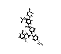 COc1ccc(N(C(=O)Oc2c(C)cccc2C)c2ccnc(Nc3ccc(N4CCNCC4)c(OC(F)F)c3)n2)cc1